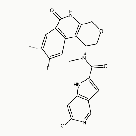 CN(C(=O)c1cc2cnc(Cl)cc2[nH]1)[C@H]1COCc2[nH]c(=O)c3cc(F)c(F)cc3c21